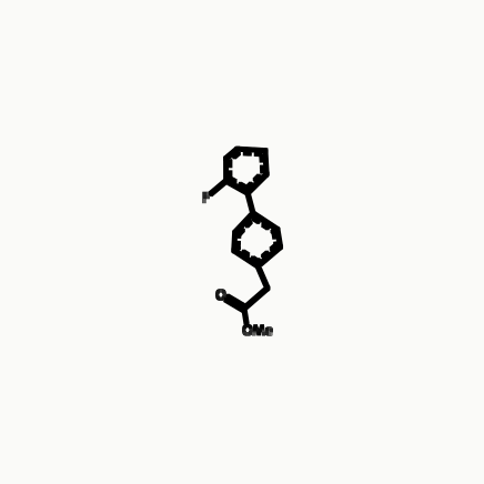 COC(=O)Cc1ccc(-c2ccccc2F)cc1